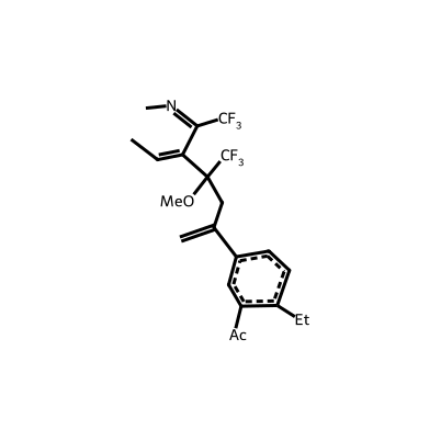 C=C(CC(OC)(C(=C/C)/C(=N\C)C(F)(F)F)C(F)(F)F)c1ccc(CC)c(C(C)=O)c1